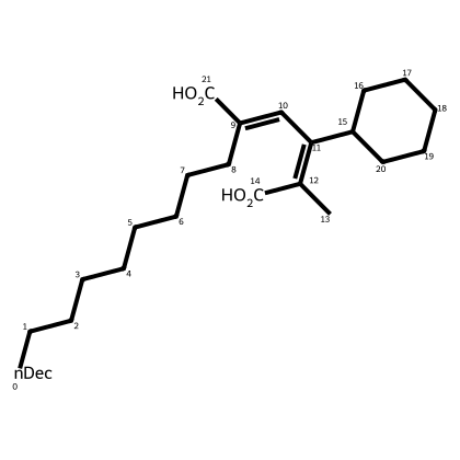 CCCCCCCCCCCCCCCCCCC(=CC(=C(C)C(=O)O)C1CCCCC1)C(=O)O